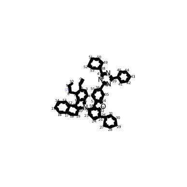 C=Cc1ccc2c(c1/C=C\C)c1c3ccccc3ccc1n2-c1ccc(-c2ccccc2)c2oc3cc(-c4nc(-c5ccccc5)nc(-c5ccccc5)n4)ccc3c12